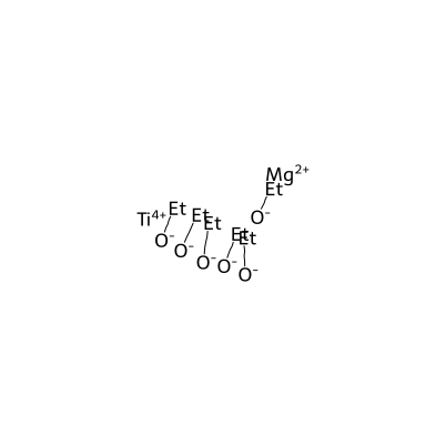 CC[O-].CC[O-].CC[O-].CC[O-].CC[O-].CC[O-].[Mg+2].[Ti+4]